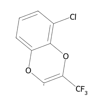 FC(F)(F)C1=[C]Oc2cccc(Cl)c2O1